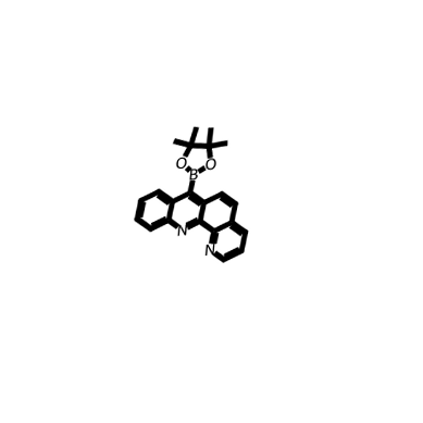 CC1(C)OB(c2c3ccccc3nc3c2ccc2cccnc23)OC1(C)C